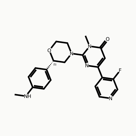 CNc1ccc([C@H]2CN(c3nc(-c4ccncc4F)cc(=O)n3C)CCO2)cc1